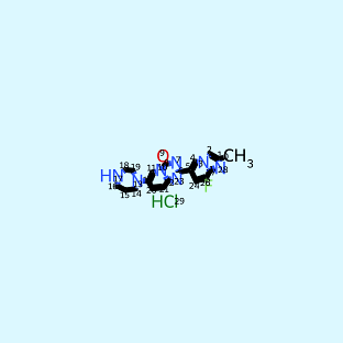 Cc1cn2cc(-c3nc(=O)n4cc(N5CCCNCC5)ccc4n3)cc(F)c2n1.Cl